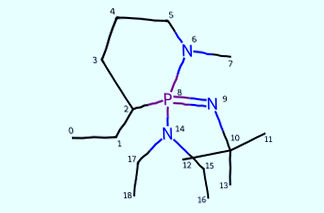 CCC1CCCN(C)P1(=NC(C)(C)C)N(CC)CC